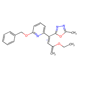 C=C(/C=C(/c1cccc(OCc2ccccc2)n1)c1nnc(C)o1)OCC